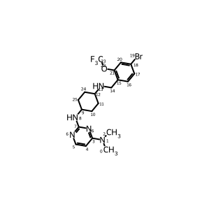 CN(C)c1ccnc(NC2CCC(NCc3ccc(Br)cc3OC(F)(F)F)CC2)n1